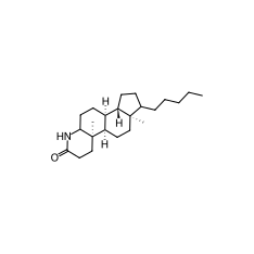 CCCCCC1CC[C@H]2[C@@H]3CCC4NC(=O)CC[C@]4(C)[C@@H]3CC[C@]12C